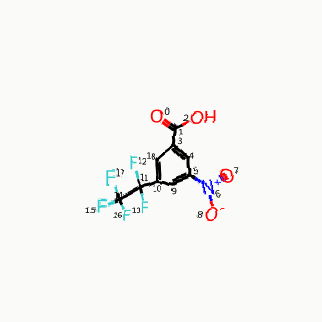 O=C(O)c1cc([N+](=O)[O-])cc(C(F)(F)C(F)(F)F)c1